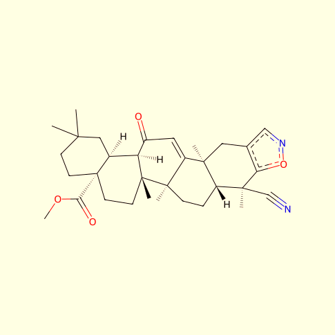 COC(=O)[C@]12CCC(C)(C)C[C@H]1[C@H]1C(=O)C=C3[C@@]4(C)Cc5cnoc5[C@@](C)(C#N)[C@@H]4CC[C@@]3(C)[C@]1(C)CC2